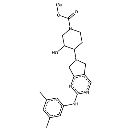 Cc1cc(C)cc(Nc2ncc3c(n2)CN(C2CCN(C(=O)OC(C)(C)C)CC2O)C3)c1